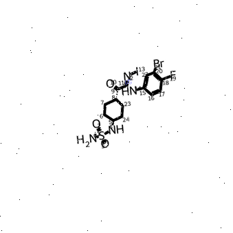 NS(=O)(=O)N[C@H]1CC[C@H](C(=O)/C(=N/I)Nc2ccc(F)c(Br)c2)CC1